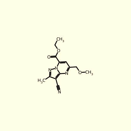 CCOC(=O)c1cc(COC)nc2c(C#N)c(C)nn12